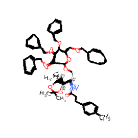 Cc1ccc(CCC(=O)N[C@@H](COC2OC(COCc3ccccc3)C(OCc3ccccc3)C(OCc3ccccc3)C2OCc2ccccc2)[C@@H]2OC(C)(C)O[C@@H]2C)cc1